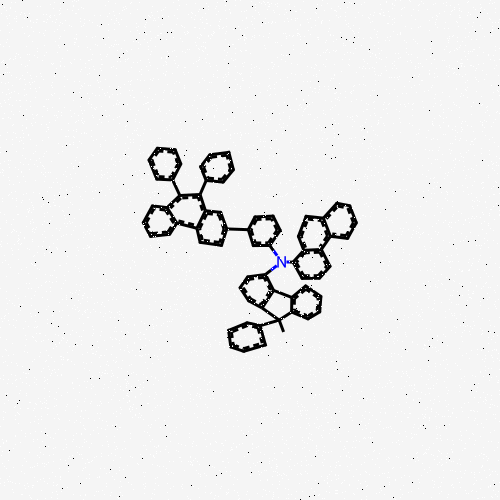 CC1(c2ccccc2)c2ccccc2-c2c(N(c3cccc(-c4ccc5c(c4)c(-c4ccccc4)c(-c4ccccc4)c4ccccc45)c3)c3cccc4c3ccc3ccccc34)cccc21